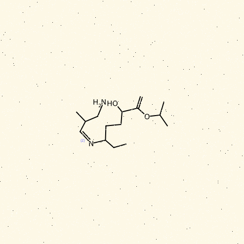 C=C(OC(C)C)C(O)CCC(CC)/N=C\C(C)CN